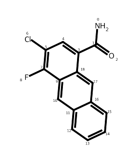 NC(=O)c1cc(Cl)c(F)c2cc3ccccc3cc12